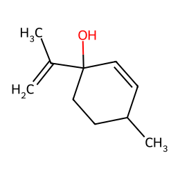 C=C(C)C1(O)C=CC(C)CC1